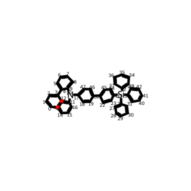 c1ccc(-c2ccccc2N(c2ccccc2)c2ccc(-c3ccc([Si](c4ccccc4)(c4ccccc4)c4ccccc4)cc3)cc2)cc1